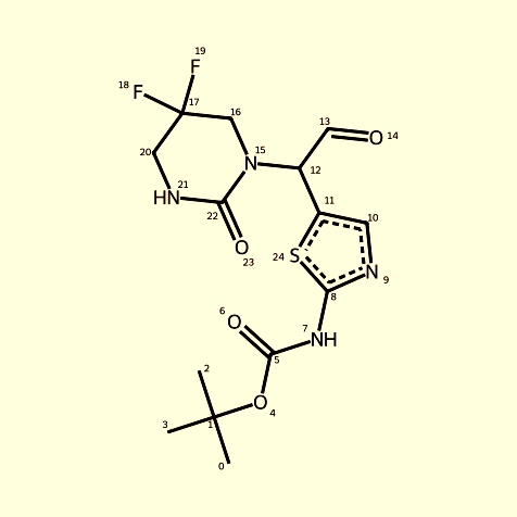 CC(C)(C)OC(=O)Nc1ncc(C(C=O)N2CC(F)(F)CNC2=O)s1